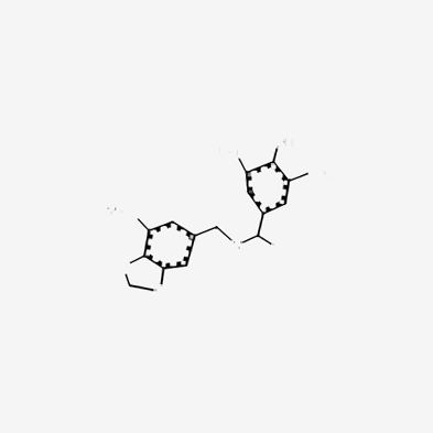 CCOC(=O)C(NCc1cc(OC)c2c(c1)OCO2)c1cc(C(C)(C)C)c(O)c(C(C)(C)C)c1